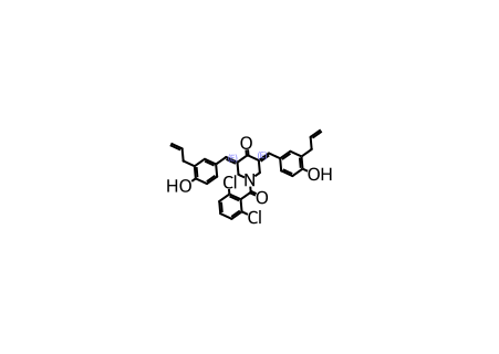 C=CCc1cc(/C=C2\CN(C(=O)c3c(Cl)cccc3Cl)C/C(=C\c3ccc(O)c(CC=C)c3)C2=O)ccc1O